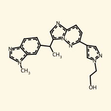 CC(c1ccc2ncn(C)c2c1)c1cnc2ccc(-c3cnn(CCO)c3)nn12